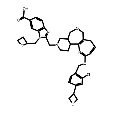 O=C(O)c1ccc2nc(CN3CCC4C5=C(CC=CC(OCc6ccc(C7COC7)cc6Cl)=N5)COCC4C3)n(CC3CCO3)c2c1